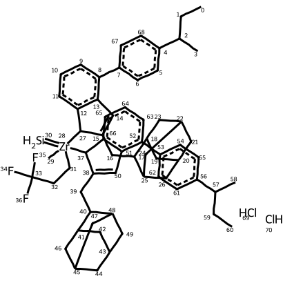 CCC(C)c1ccc(-c2cccc3c2C=C(CC2C4CC5CC(C4)CC2C5)[CH]3[Zr]([CH3])(=[SiH2])([CH2]CC(F)(F)F)[CH]2C(CC3C4CC5CC(C4)CC3C5)=Cc3c(-c4ccc(C(C)CC)cc4)cccc32)cc1.Cl.Cl